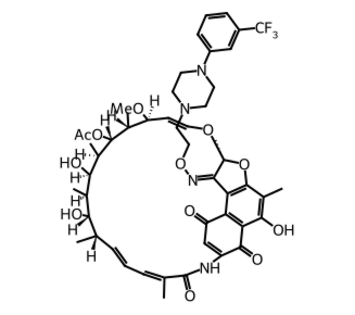 CO[C@H]1/C=C/O[C@@]2(C)Oc3c(C)c(O)c4c(c3/C2=N/OCCN2CCN(c3cccc(C(F)(F)F)c3)CC2)C(=O)C=C(NC(=O)/C(C)=C\C=C\[C@H](C)[C@H](O)[C@@H](C)[C@@H](O)[C@@H](C)[C@H](OC(C)=O)[C@@H]1C)C4=O